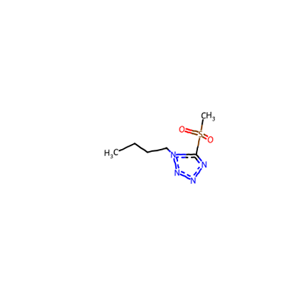 CCCCn1nnnc1S(C)(=O)=O